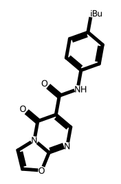 CCC(C)c1ccc(NC(=O)c2cnc3occn3c2=O)cc1